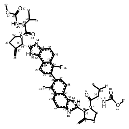 C=C1CCN(C(=O)[C@@H](NC(=O)OC)C(C)C)[C@@H]1c1nc2ccc3c(F)c(-c4ccc5c(ccc6nc([C@@H]7C(=C)CCN7C(=O)[C@@H](NC(=O)OC)C(C)C)[nH]c65)c4F)ccc3c2[nH]1